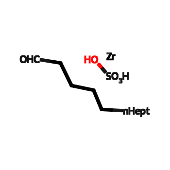 CCCCCCCCCCCC=O.O=S(=O)(O)O.[Zr]